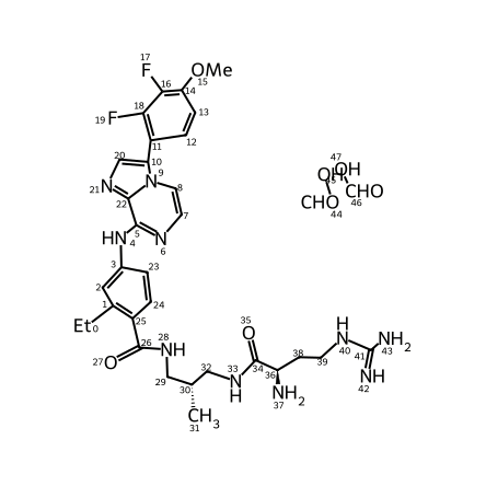 CCc1cc(Nc2nccn3c(-c4ccc(OC)c(F)c4F)cnc23)ccc1C(=O)NC[C@@H](C)CNC(=O)[C@H](N)CCNC(=N)N.O=CO.O=CO